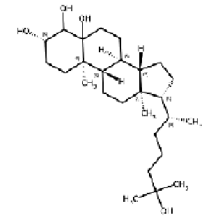 C[C@H](CCCC(C)(C)O)[C@H]1CC[C@H]2[C@@H]3CCC4(O)C(O)[C@@H](O)CC[C@]4(C)[C@H]3CC[C@]12C